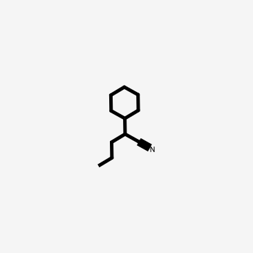 CCCC(C#N)C1CCCCC1